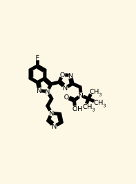 CC(C)(C)N(Cc1noc(-c2c3cc(F)ccc3nn2CCn2ccnc2)n1)C(=O)O